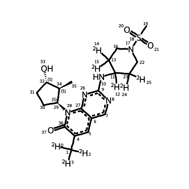 [2H]C([2H])([2H])c1cc2cnc(NC3([2H])C([2H])([2H])CN(S(C)(=O)=O)CC3([2H])[2H])nc2n([C@H]2CC[C@H](O)[C@H]2C)c1=O